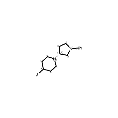 CC(C)N1CC[C@@H](N2CCC(F)CC2)C1